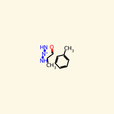 CCC=O.Cc1ccccc1.N=[N+]=N